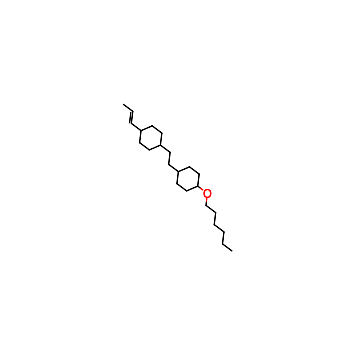 CC=CC1CCC(CCC2CCC(OCCCCCC)CC2)CC1